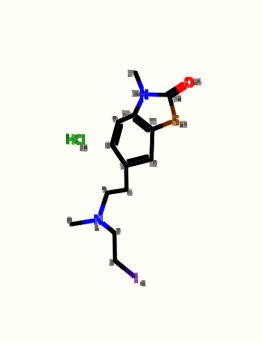 CN(CCI)CCc1ccc2c(c1)sc(=O)n2C.Cl